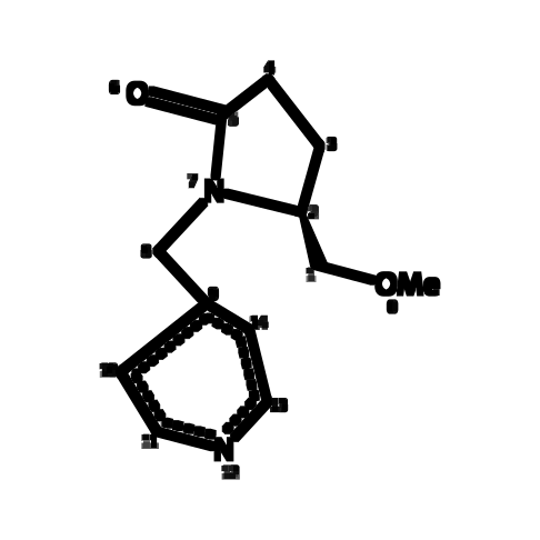 COC[C@@H]1CCC(=O)N1Cc1ccncc1